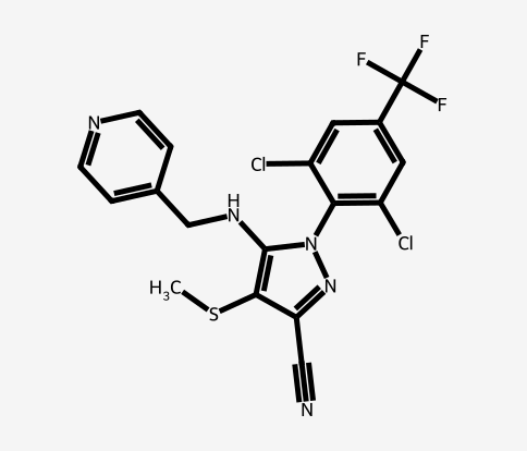 CSc1c(C#N)nn(-c2c(Cl)cc(C(F)(F)F)cc2Cl)c1NCc1ccncc1